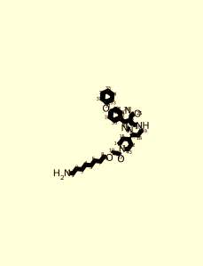 NCCCCCCCCOCC(=O)N1CCC([C@@H]2CCNc3c(C(N)=O)c(-c4ccc(Oc5ccccc5)cc4)nn32)CC1